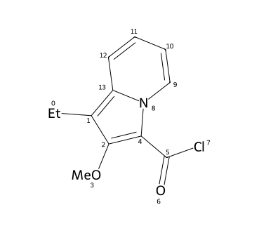 CCc1c(OC)c(C(=O)Cl)n2ccccc12